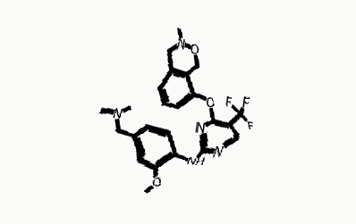 COc1cc(CN(C)C)ccc1Nc1ncc(C(F)(F)F)c(Oc2cccc3c2CON(C)C3)n1